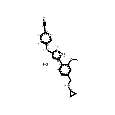 COc1cc(CNC2CC2)ccc1-c1cc(Nc2cnc(C#N)cn2)n[nH]1.Cl